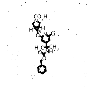 CC(C)(NC(=O)OCc1ccccc1)c1cc(Cl)nc(O[C@@H]2[C@@H]3CN(C(=O)O)C[C@@H]32)c1